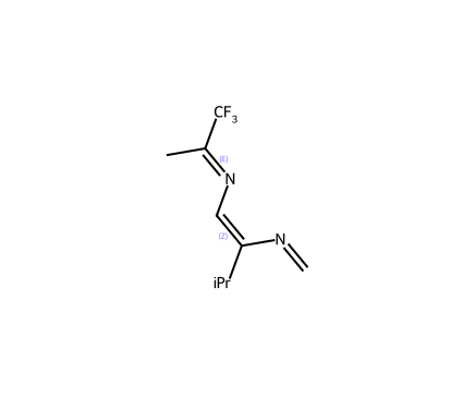 C=N/C(=C\N=C(/C)C(F)(F)F)C(C)C